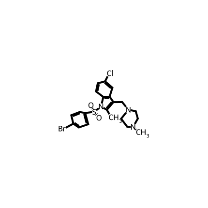 Cc1c(CN2CCN(C)CC2)c2cc(Cl)ccc2n1S(=O)(=O)c1ccc(Br)cc1